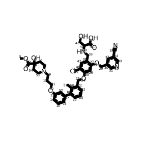 COC(=O)C1(O)CCN(CCCOc2cccc(-c3cccc(COc4cc(OCc5cncc(C#N)c5)c(CNC(CO)C(=O)O)cc4Cl)c3C)c2)CC1